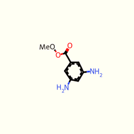 COOC(=O)c1cc(N)cc(N)c1